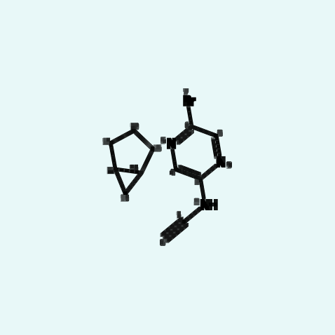 C#CNc1cnc(Br)cn1.C1CC2CC2C1